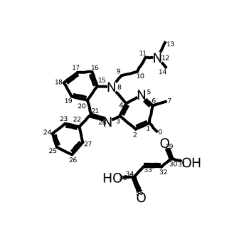 Cc1cc2c(nc1C)N(CCCN(C)C)c1ccccc1C(c1ccccc1)=N2.O=C(O)/C=C/C(=O)O